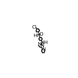 O=C(Nc1ccc(Nc2nccc(-c3ccccn3)n2)cc1)c1ccc(Cl)cc1